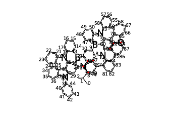 CC(C)C(C)N1c2cc3c(cc2B2c4ccccc4N(c4ccccc4)c4c2c1cc1c4c2ccccc2n1-c1ccccc1)B1c2ccccc2N(c2ccccc2)c2c1c(cc1oc4ccccc4c21)N3c1c(-c2ccccc2)cccc1-c1ccccc1